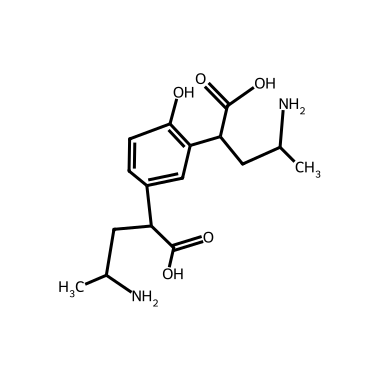 CC(N)CC(C(=O)O)c1ccc(O)c(C(CC(C)N)C(=O)O)c1